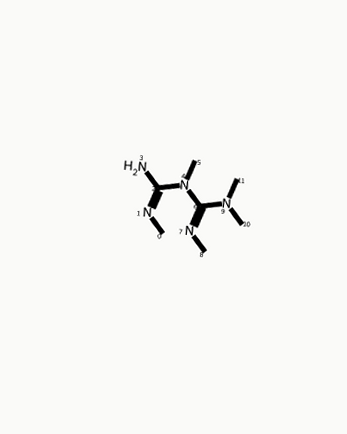 CN=C(N)N(C)C(=NC)N(C)C